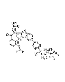 CC(C)(O[Si](C)(C)C(C)(C)C)c1ncc(-c2ccc3nc4n(c3c2)[C@@H]2C[C@H]4N(CC(=O)O)C(=O)c3cccc(OC(F)F)c32)cn1